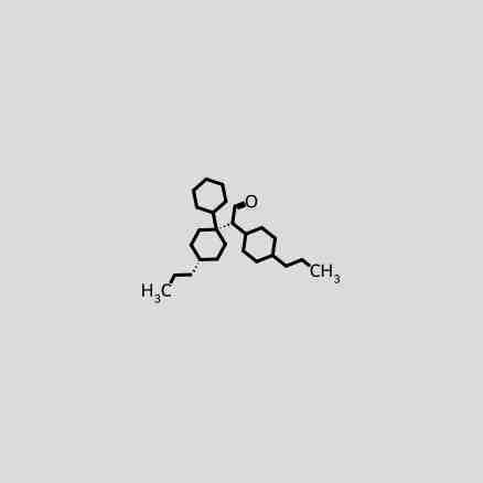 CCCC1CCC(C(C=O)[C@]2(C3CCCCC3)CC[C@H](CCC)CC2)CC1